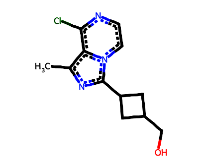 Cc1nc(C2CC(CO)C2)n2ccnc(Cl)c12